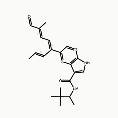 C/C=C/C(=C\C=C(/C)C=O)c1cnc2[nH]cc(C(=O)NC(C)C(C)(C)C)c2n1